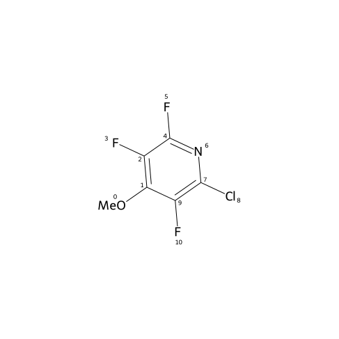 COc1c(F)c(F)nc(Cl)c1F